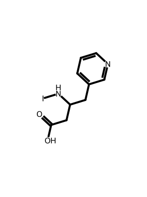 O=C(O)CC(Cc1cccnc1)NI